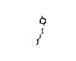 Cl.N[C@@H](CS)CCCCOc1ccc([N+](=O)[O-])cc1